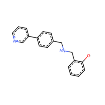 [O]c1ccccc1CNCc1ccc(-c2cccnc2)cc1